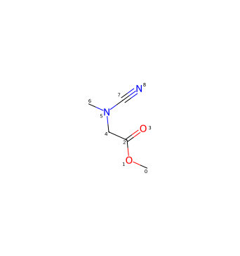 COC(=O)CN(C)C#N